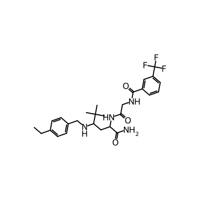 CCc1ccc(CNC(CC(NC(=O)CNC(=O)c2cccc(C(F)(F)F)c2)C(N)=O)C(C)(C)C)cc1